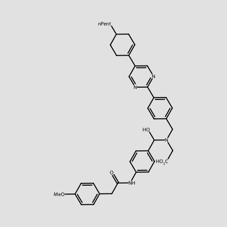 CCCCCC1CC=C(c2cnc(-c3ccc(CN(CC(=O)O)C(O)c4ccc(NC(=O)Cc5ccc(OC)cc5)cc4)cc3)nc2)CC1